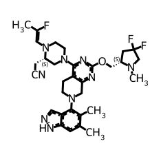 CC(F)=CN1CCN(c2nc(OC[C@@H]3CC(F)(F)CN3C)nc3c2CCN(c2c(C)c(C)cc4[nH]ncc24)C3)C[C@@H]1CC#N